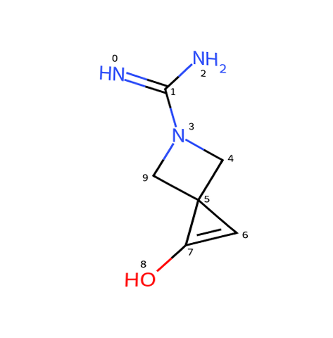 N=C(N)N1CC2(C=C2O)C1